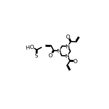 C=CC(=O)N1CN(C(=O)C=C)CN(C(=O)C=C)C1.CC(O)=S